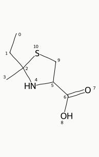 CCC1(C)NC(C(=O)O)CS1